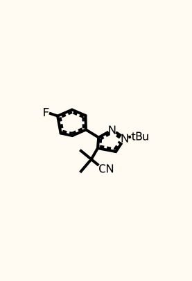 CC(C)(C#N)c1cn(C(C)(C)C)nc1-c1ccc(F)cc1